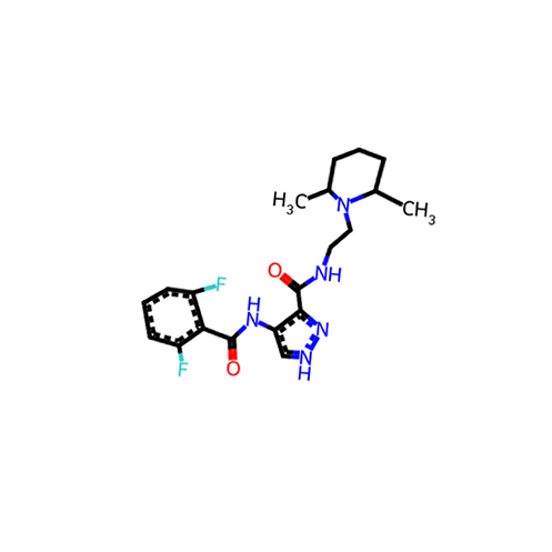 CC1CCCC(C)N1CCNC(=O)c1n[nH]cc1NC(=O)c1c(F)cccc1F